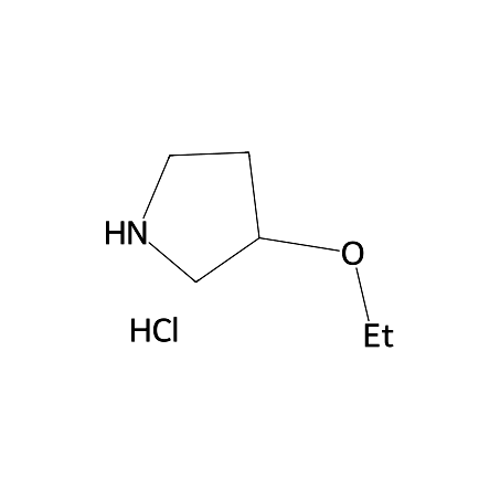 CCOC1CCNC1.Cl